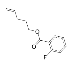 C=CCCCOC(=O)c1ccccc1F